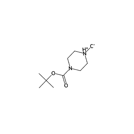 [CH2-][NH+]1CCN(C(=O)OC(C)(C)C)CC1